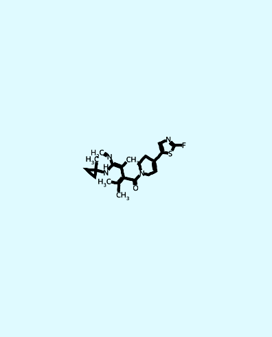 C=N/C(NC1(C)CC1)=C(\C)C(C(=O)N1CC=C(c2cnc(F)s2)CC1)=C(C)C